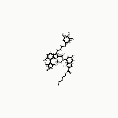 CCCCCOC(=O)c1cc2cc(C)cc(N3C[C@@H](C)n4c(c(CCCOc5cc(C)c(Cl)c(C)c5)c5ccc(Cl)c(-c6c(C)nn(C)c6C)c54)C3=O)c2[nH]1